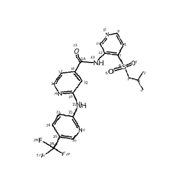 CC(C)CS(=O)(=O)c1ccncc1NC(=O)c1ccnc(Nc2ccc(C(F)(F)F)cn2)c1